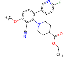 CCOC(=O)C1CCN(c2c(-c3ccc(F)nc3)ccc(OC)c2C#N)CC1